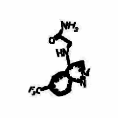 NC(=O)CNc1cnnc2ccc(C(F)(F)F)cc12